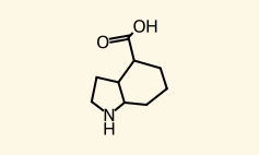 O=C(O)C1CCCC2NCCC21